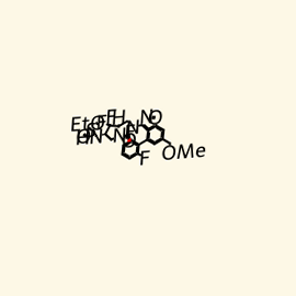 CCS(=O)(=O)N[C@@H]1CN2C(=O)N(c3noc4cc(COC)cc(-c5c(F)cccc5F)c34)C[C@@H]2C1(F)F